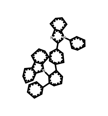 c1ccc(-c2cccc(-c3ccc(-c4nc5ccccc5n4-c4ccccc4)cc3)c2-n2c3ccccc3c3ccccc32)cc1